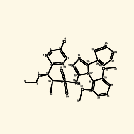 CCO[C@@H](c1ncc(Cl)cn1)[C@H](C)S(=O)(=O)Nc1nnc(-c2cccnc2)n1-c1c(OC)cccc1OC